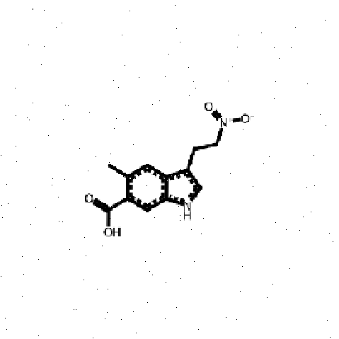 Cc1cc2c(CC[N+](=O)[O-])c[nH]c2cc1C(=O)O